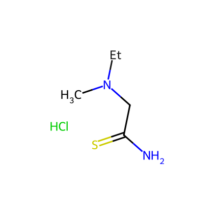 CCN(C)CC(N)=S.Cl